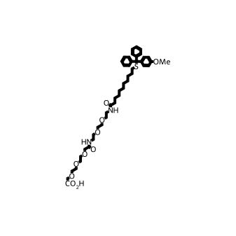 COc1ccc(C(SCCCCCCCCCCC(=O)NCCOCCOCCNC(=O)COCCOCCOCC(=O)O)(c2ccccc2)c2ccccc2)cc1